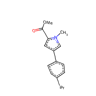 COC(=O)c1cc(-c2ccc(C(C)C)cc2)cn1C